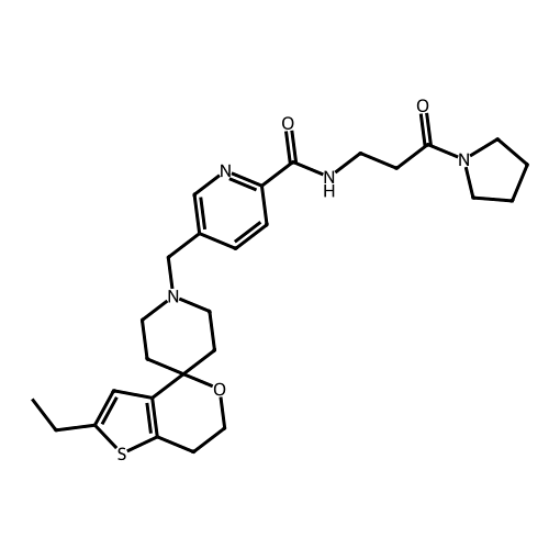 CCc1cc2c(s1)CCOC21CCN(Cc2ccc(C(=O)NCCC(=O)N3CCCC3)nc2)CC1